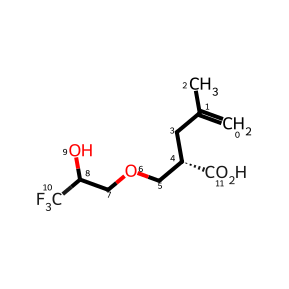 C=C(C)C[C@@H](COCC(O)C(F)(F)F)C(=O)O